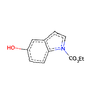 CCOC(=O)n1ccc2cc(O)ccc21